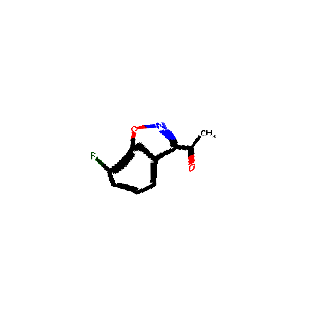 CC(=O)c1noc2c(F)cccc12